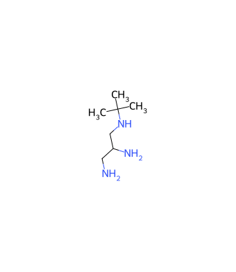 CC(C)(C)NCC(N)CN